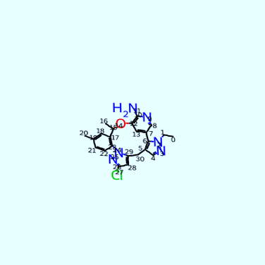 CCn1ncc2c1-c1cnc(N)c(c1)OC(C)c1cc(C)ccc1-n1nc(Cl)cc1C2